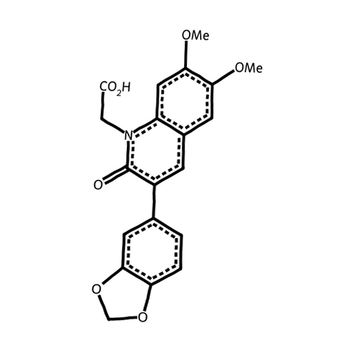 COc1cc2cc(-c3ccc4c(c3)OCO4)c(=O)n(CC(=O)O)c2cc1OC